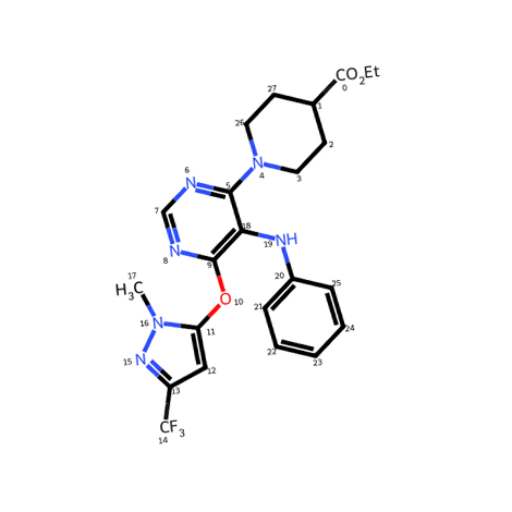 CCOC(=O)C1CCN(c2ncnc(Oc3cc(C(F)(F)F)nn3C)c2Nc2ccccc2)CC1